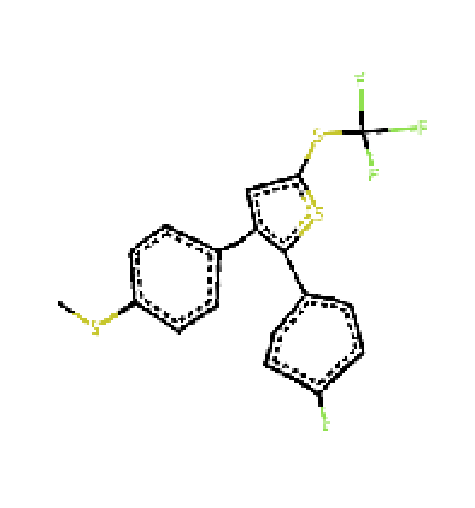 CSc1ccc(-c2cc(SC(F)(F)F)sc2-c2ccc(F)cc2)cc1